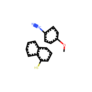 COc1ccc([N+]#N)cc1.Sc1cccc2ccccc12